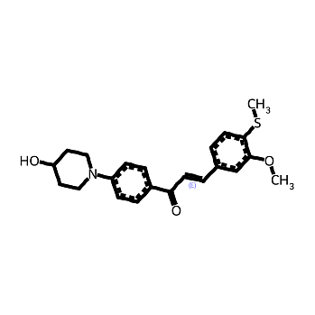 COc1cc(/C=C/C(=O)c2ccc(N3CCC(O)CC3)cc2)ccc1SC